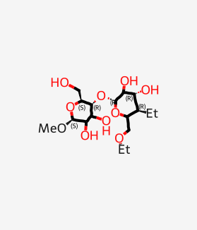 CCOCC1O[C@H](O[C@@H]2C(O)C(O)[C@@H](OC)O[C@H]2CO)C(O)[C@H](O)[C@H]1CC